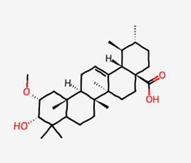 CO[C@@H]1C[C@@]2(C)C(CC[C@]3(C)[C@@H]2CC=C2[C@@H]4[C@@H](C)[C@H](C)CC[C@]4(C(=O)O)CC[C@]23C)C(C)(C)[C@@H]1O